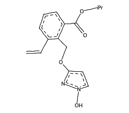 C=Cc1cccc(C(=O)OC(C)C)c1COc1ccn(O)n1